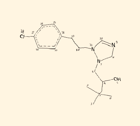 CC(C)(C)C(O)CN1CN=CN1CCc1ccc(Cl)cc1